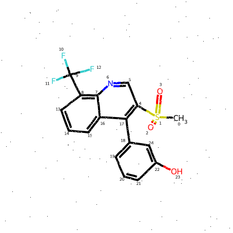 CS(=O)(=O)c1cnc2c(C(F)(F)F)cccc2c1-c1cccc(O)c1